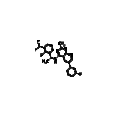 Cc1nc(N[C@H](C)c2cccc(C(F)F)c2F)c2cc(-c3cccc(F)c3)cnc2n1